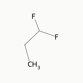 CCC(F)F